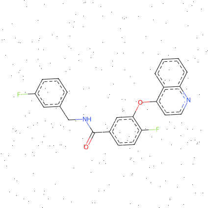 O=C(NCc1cccc(F)c1)c1ccc(F)c(Oc2ccnc3ccccc23)c1